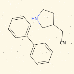 N#CCC1CCNC1.c1ccc(-c2ccccc2)cc1